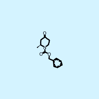 C[C@H]1CC(=O)CCN1C(=O)OCc1ccccc1